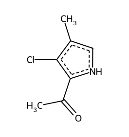 CC(=O)c1[nH]cc(C)c1Cl